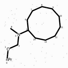 CCCOCN(C)C1CCCCCCCCC1